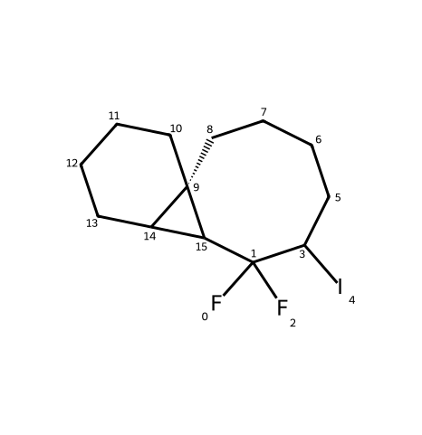 FC1(F)C(I)CCCC[C@@]23CCCCC2C13